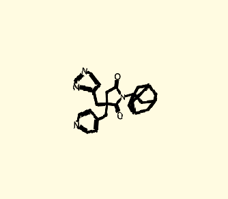 O=C1CC(Cc2ccncc2)(Cc2ccncn2)C(=O)N1C12CC3CC(CC(C3)C1)C2